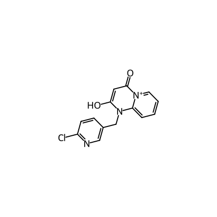 O=c1cc(O)n(Cc2ccc(Cl)nc2)c2cccc[n+]12